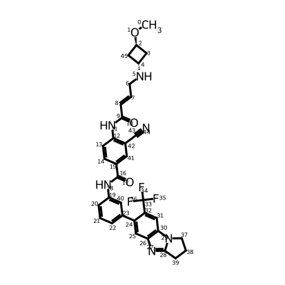 CO[C@H]1C[C@H](NC/C=C/C(=O)Nc2ccc(C(=O)Nc3cccc(-c4cc5nc6n(c5cc4C(F)(F)F)CCC6)c3)cc2C#N)C1